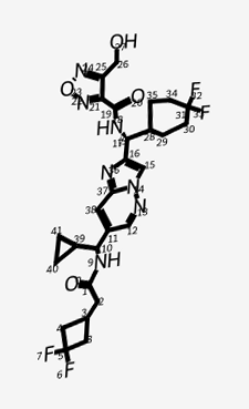 O=C(CC1CC(F)(F)C1)NC(c1cnn2cc([C@@H](NC(=O)c3nonc3CO)C3CCC(F)(F)CC3)nc2c1)C1CC1